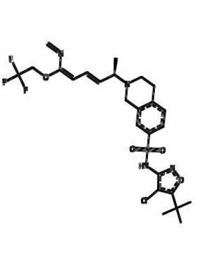 C=N/C(=C\C=C\[C@@H](C)N1CCc2ccc(S(=O)(=O)Nc3noc(C(C)(C)C)c3Cl)cc2C1)OCC(F)(F)F